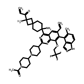 C=CC(=O)C1(N)CC2(CCC(N)(c3nc(C4CCN(C5CCN(C(C)=O)CC5)CC4)nc4c(OCC(F)(F)F)c(-c5c(C)ccc6[nH]ncc56)c(C=C)cc34)CC2)C1